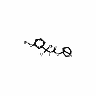 CC(C)Oc1cccc(C(C)(C)NC(=O)OC2CN3CCC2CC3)c1